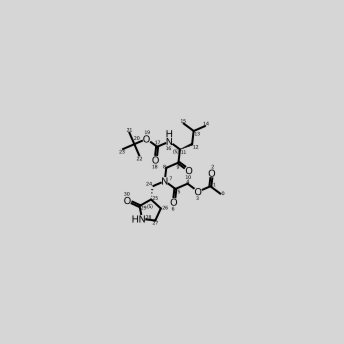 CC(=O)OCC(=O)N(CC(=O)[C@H](CC(C)C)NC(=O)OC(C)(C)C)C[C@@H]1CCNC1=O